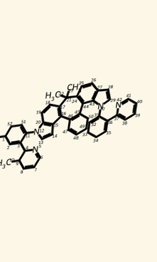 CC1C=C(C2N=CC=CC2C)C(n2ccc3c4c(ccc32)C(C)(C)c2ccc3ccn(C5=CCCC=C5c5ccccn5)c3c2C2=C4C=CCC2)=CC1